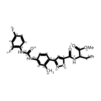 COC(=O)C(CC(C)C)NC(=O)c1cc(-c2ccc(NC(=O)Nc3ccc(F)cc3F)cc2C)no1